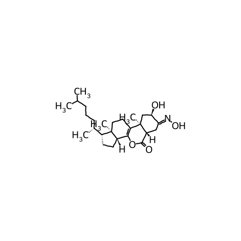 CC(C)CCC[C@@H](C)[C@H]1CC[C@H]2C3=C(CC[C@]12C)[C@@]1(C)C[C@@H](O)C(=NO)C[C@@H]1C(=O)O3